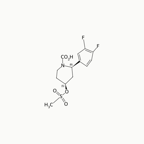 CS(=O)(=O)O[C@H]1CCN(C(=O)O)[C@@H](c2ccc(F)c(F)c2)C1